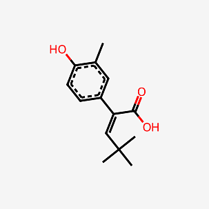 Cc1cc(C(=CC(C)(C)C)C(=O)O)ccc1O